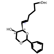 CCCCCCCCCCCCC/C=C/[C@H]1OC(c2ccccc2)OC[C@H]1O